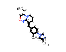 COc1cc(/C=C2\CCCN3C2=NOC[C@@H]3CC(C)(C)C)ccc1-n1cnc(C)c1